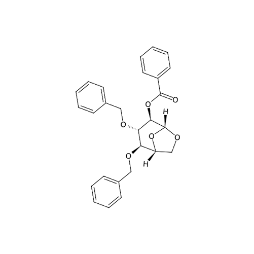 O=C(O[C@H]1[C@@H]2OC[C@@H](O2)[C@@H](OCc2ccccc2)[C@@H]1OCc1ccccc1)c1ccccc1